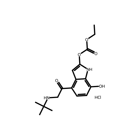 CCOC(=O)Oc1cc2c(C(=O)CNC(C)(C)C)ccc(O)c2[nH]1.Cl